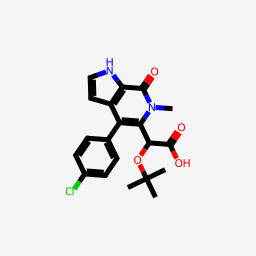 Cn1c(C(OC(C)(C)C)C(=O)O)c(-c2ccc(Cl)cc2)c2cc[nH]c2c1=O